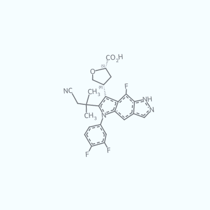 CC(C)(CC#N)c1c([C@@H]2CO[C@H](C(=O)O)C2)c2c(F)c3[nH]ncc3cc2n1-c1ccc(F)c(F)c1